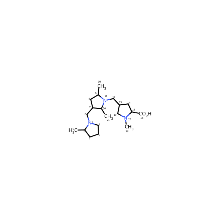 CC1CCCN1CC1CC(C)N(CC2CC(C(=O)O)N(C)C2)C1C